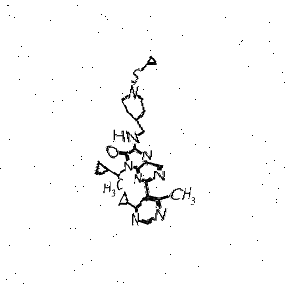 Cc1ncnc(C2CC2)c1-c1ncc2nc(NCC3CCN(SC4CC4)CC3)c(=O)n(C(C)C3CC3)c2n1